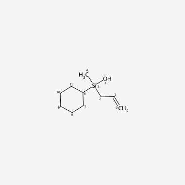 C=CC[Si](C)(O)C1CCCCC1